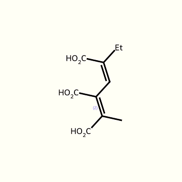 CCC(=C/C(C(=O)O)=C(\C)C(=O)O)C(=O)O